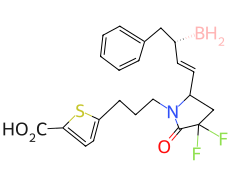 B[C@H](/C=C/C1CC(F)(F)C(=O)N1CCCc1ccc(C(=O)O)s1)Cc1ccccc1